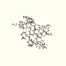 Cc1ccc2sc3c(c2c1)N(c1ccc(C(C)(C)C)cc1-c1ccccc1)c1cc(N(c2ccccc2)c2ccccc2)cc2c1B3c1cc3c(cc1N2c1ccc2c(c1)C(C)(C)CCC2(C)C)C(C)(C)CCC3(C)C